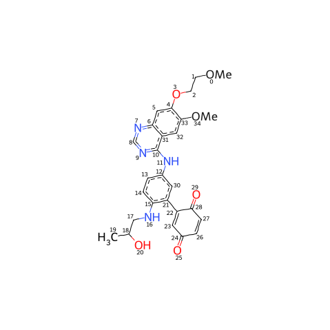 COCCOc1cc2ncnc(Nc3ccc(NCC(C)O)c(C4=CC(=O)C=CC4=O)c3)c2cc1OC